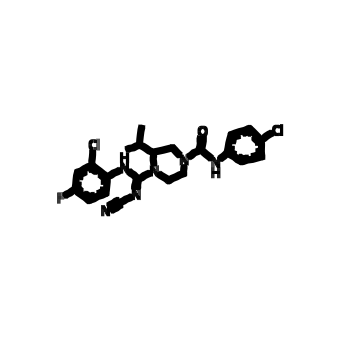 CC(C)C1CN(C(=O)Nc2ccc(Cl)cc2)CCN1/C(=N/C#N)Nc1ccc(F)cc1Cl